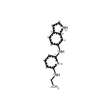 CCNc1cccc(Nc2ccc3cc[nH]c3c2)n1